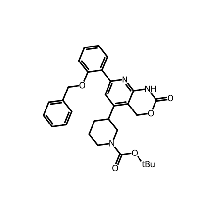 CC(C)(C)OC(=O)N1CCCC(c2cc(-c3ccccc3OCc3ccccc3)nc3c2COC(=O)N3)C1